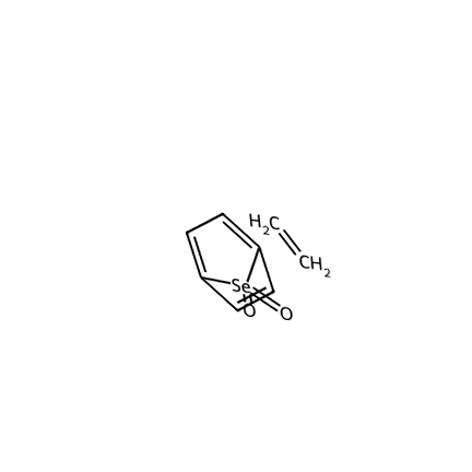 C=C.O=[Se]1(=O)C2=CC=C1C=C2